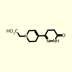 O=C(O)CN1CC=C(C2=NNC(=O)CC2)CC1